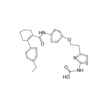 CCc1ccc(C2=C(C(=O)Nc3ccc(OCCc4csc(NC(=O)O)n4)cc3)CCCC2)cc1